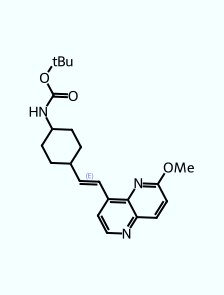 COc1ccc2nccc(/C=C/C3CCC(NC(=O)OC(C)(C)C)CC3)c2n1